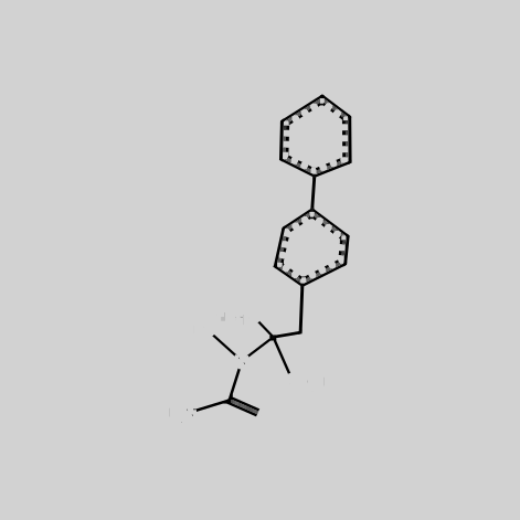 CCCCCCCC(Cc1ccc(-c2ccccc2)cc1)(C(=O)O)N(C)C(N)=O